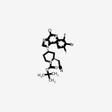 CC(C)(C)OC(=O)N1CC[C@H](n2cnc3c(Cl)nc4c(F)c(Br)c(I)cc4c32)C[C@H]1CC#N